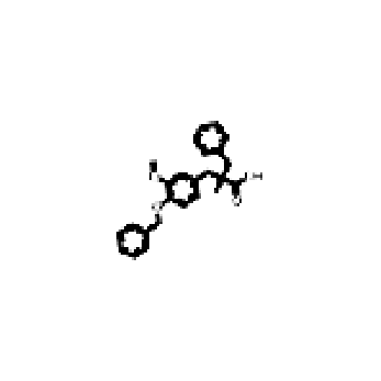 COc1cc(CC(C)(Cc2ccccc2)C(=O)O)ccc1OCc1ccccc1